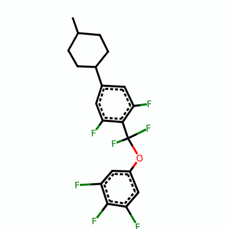 CC1CCC(c2cc(F)c(C(F)(F)Oc3cc(F)c(F)c(F)c3)c(F)c2)CC1